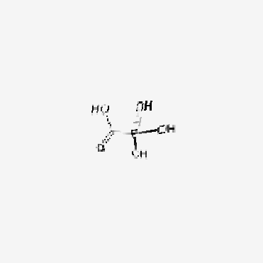 O=C(O)[PH](O)(O)O